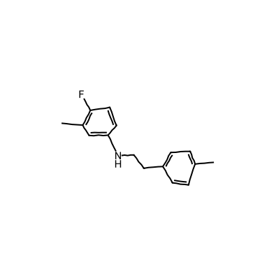 Cc1ccc(CCNc2ccc(F)c(C)c2)cc1